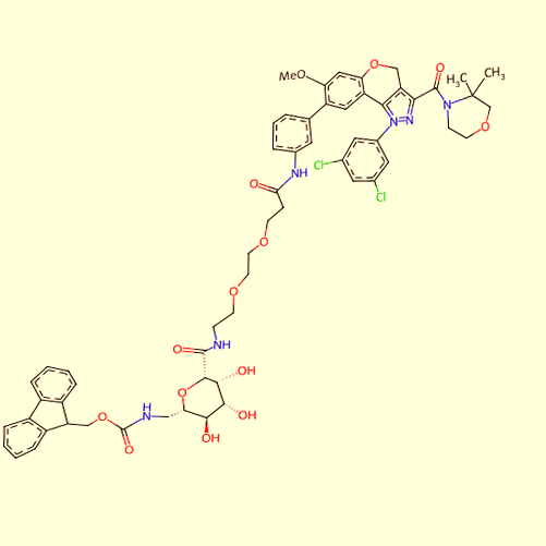 COc1cc2c(cc1-c1cccc(NC(=O)CCOCCOCCNC(=O)[C@H]3O[C@@H](CNC(=O)OCC4c5ccccc5-c5ccccc54)[C@H](O)[C@@H](O)[C@H]3O)c1)-c1c(c(C(=O)N3CCOCC3(C)C)nn1-c1cc(Cl)cc(Cl)c1)CO2